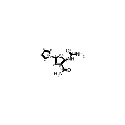 NC(=O)Nc1sc(-n2cccc2)cc1C(N)=O